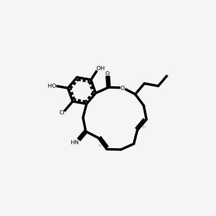 CCCC1C/C=C/CC/C=C/C(=N)Cc2c(Cl)c(O)cc(O)c2C(=O)O1